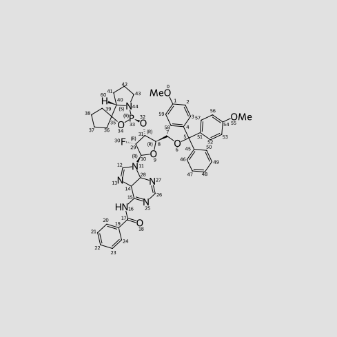 COc1ccc(C(OC[C@H]2O[C@@H](N3C=NC4C(NC(=O)c5ccccc5)=NC=NC43)[C@H](F)[C@@H]2O[P@@]2OC3(CCCC3)[C@@H]3CCCN32)(c2ccccc2)c2ccc(OC)cc2)cc1